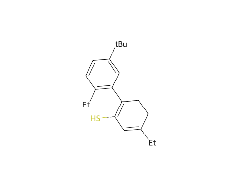 CCC1=CC(S)=C(c2cc(C(C)(C)C)ccc2CC)CC1